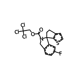 O=C(OCC(Cl)(Cl)Cl)N1Cc2ccc(F)cc2C12CCc1ccsc12